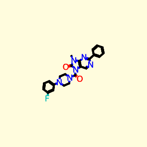 Cn1c(=O)n(C(=O)N2CCN(c3cccc(F)c3)CC2)c2cnc(-c3ccccc3)nc21